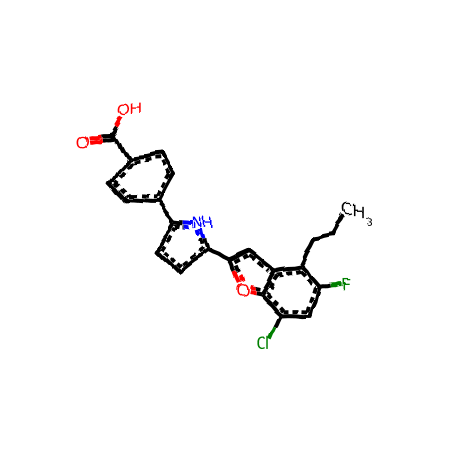 CCCc1c(F)cc(Cl)c2oc(-c3ccc(-c4ccc(C(=O)O)cc4)[nH]3)cc12